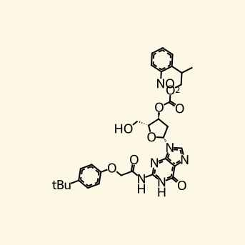 CC(COC(=O)O[C@H]1C[C@H](n2cnc3c(=O)[nH]c(NC(=O)COc4ccc(C(C)(C)C)cc4)nc32)O[C@@H]1CO)c1ccccc1[N+](=O)[O-]